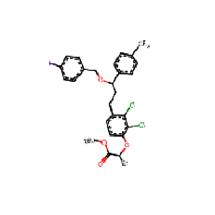 CCC(Oc1ccc(CCC(OCc2ccc(I)cc2)c2ccc(C(F)(F)F)cc2)c(Cl)c1Cl)C(=O)OC(C)(C)C